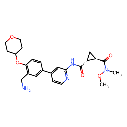 CON(C)C(=O)[C@@H]1C[C@H]1C(=O)Nc1cc(-c2ccc(OC3CCOCC3)c(CN)c2)ccn1